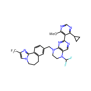 COc1ncnc(C2CC2)c1-c1ncc2c(n1)N(Cc1ccc3c(c1)CCCn1cc(C(F)(F)F)nc1-3)CCN2C(F)F